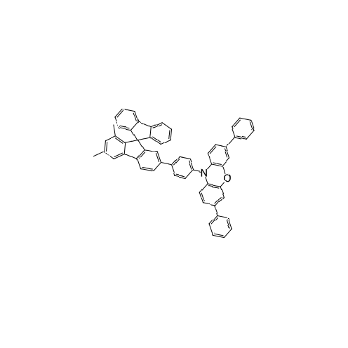 Cc1cc(C)c2c(c1)-c1ccc(-c3ccc(N4c5ccc(-c6ccccc6)cc5Oc5cc(-c6ccccc6)ccc54)cc3)cc1C21c2ccccc2-c2ccccc21